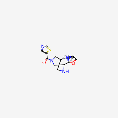 O=C(O)C1CN(C(=O)c2cncs2)CC12CNC2c1ncco1